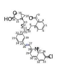 CC(=O)c1ccccc1CC[C@H](SCC1(CC(=O)O)CC1)c1cccc(/C=C/c2ccc3ccc(Cl)cc3n2)c1